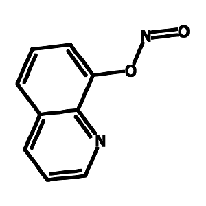 O=NOc1cccc2cccnc12